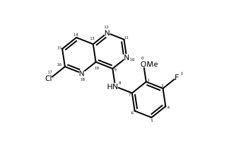 COc1c(F)cccc1Nc1ncnc2ccc(Cl)nc12